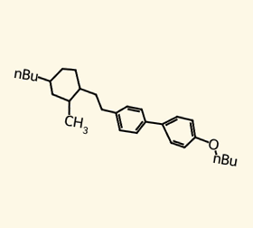 CCCCOc1ccc(-c2ccc(CCC3CCC(CCCC)CC3C)cc2)cc1